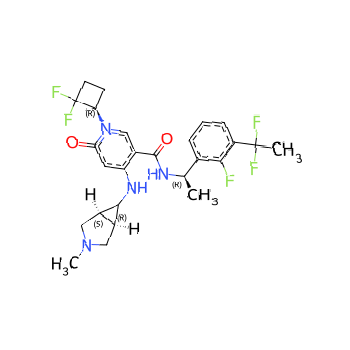 C[C@@H](NC(=O)c1cn([C@@H]2CCC2(F)F)c(=O)cc1NC1[C@H]2CN(C)C[C@@H]12)c1cccc(C(C)(F)F)c1F